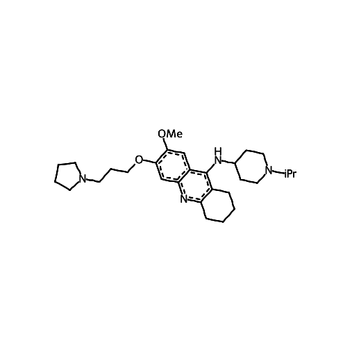 COc1cc2c(NC3CCN(C(C)C)CC3)c3c(nc2cc1OCCCN1CCCC1)CCCC3